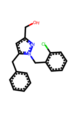 OCc1cc(Cc2ccccc2)n(Cc2ccccc2Cl)n1